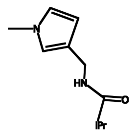 CC(C)C(=O)NCc1ccn(C)c1